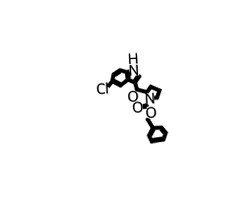 O=C(c1c[nH]c2ccc(Cl)cc12)C1CCCN1C(=O)OCc1ccccc1